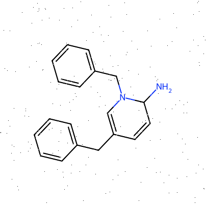 NC1C=CC(Cc2ccccc2)=CN1Cc1ccccc1